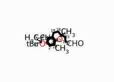 Cc1cc(O[Si](C)(C)C(C)(C)C)cc2c1O[C@](C)(CCC=O)CC2